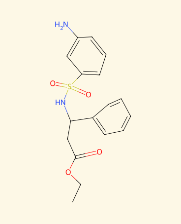 CCOC(=O)CC(NS(=O)(=O)c1cccc(N)c1)c1ccccc1